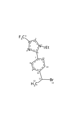 CCn1cc(C(F)(F)F)nc1-c1ccc(C(C)Br)cc1